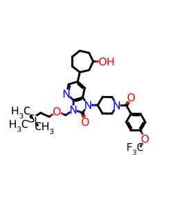 C[Si](C)(C)CCOCn1c(=O)n(C2CCN(C(=O)c3ccc(OC(F)(F)F)cc3)CC2)c2cc(C3CCCCC(O)C3)cnc21